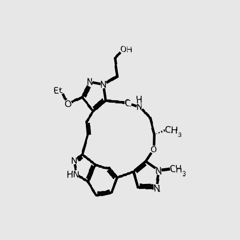 CCOc1nn(CCO)c2c1/C=C/c1n[nH]c3ccc(cc13)-c1cnn(C)c1O[C@@H](C)CNC2